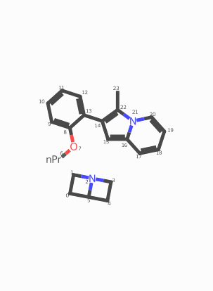 C1CN2CCC12.CCCOc1ccccc1-c1cc2ccccn2c1C